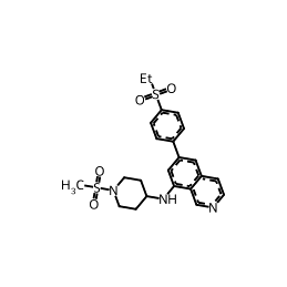 CCS(=O)(=O)c1ccc(-c2cc(NC3CCN(S(C)(=O)=O)CC3)c3cnccc3c2)cc1